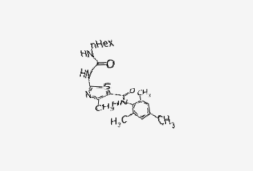 CCCCCCNC(=O)Nc1nc(C)c(C(=O)Nc2c(C)cc(C)cc2C)s1